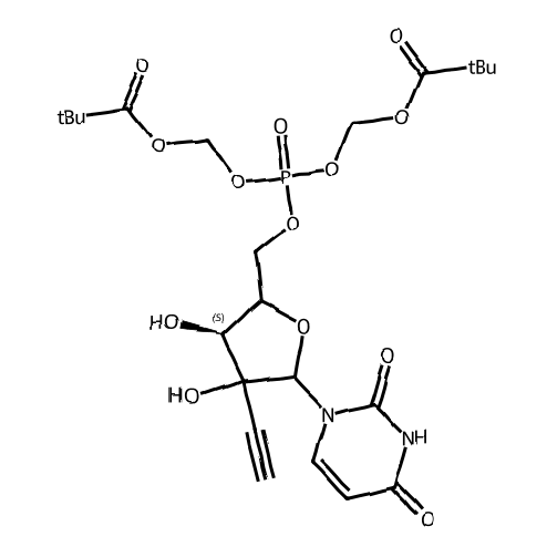 C#CC1(O)C(n2ccc(=O)[nH]c2=O)OC(COP(=O)(OCOC(=O)C(C)(C)C)OCOC(=O)C(C)(C)C)[C@@H]1O